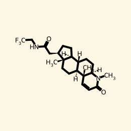 CN1C(=O)C=C[C@]2(C)[C@H]3CC[C@]4(C)[C@@H](CC(=O)NCC(F)(F)F)CC[C@H]4[C@@H]3CC[C@@H]12